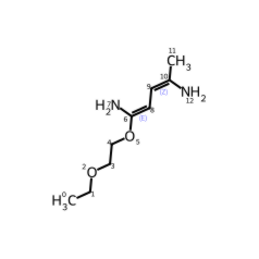 CCOCCO/C(N)=C/C=C(/C)N